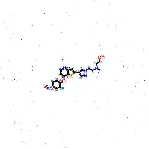 CN(CCO)CCn1cc(-c2cc3nccc(Oc4ccc(N=O)cc4F)c3s2)cn1